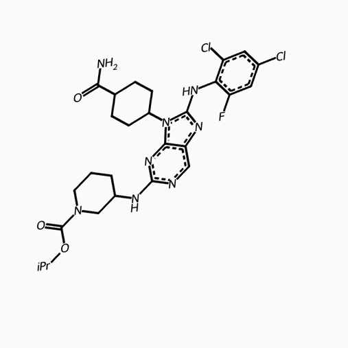 CC(C)OC(=O)N1CCCC(Nc2ncc3nc(Nc4c(F)cc(Cl)cc4Cl)n(C4CCC(C(N)=O)CC4)c3n2)C1